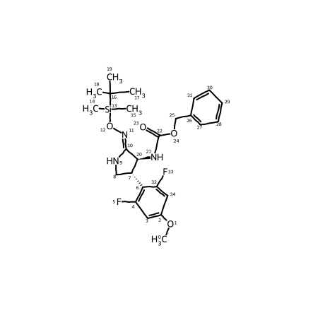 COc1cc(F)c([C@@H]2CN/C(=N\O[Si](C)(C)C(C)(C)C)[C@H]2NC(=O)OCc2ccccc2)c(F)c1